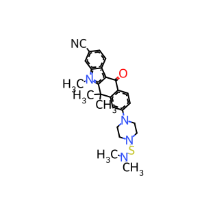 CN(C)SN1CCN(c2ccc3c(c2)C(C)(C)c2c(c4ccc(C#N)cc4n2C)C3=O)CC1